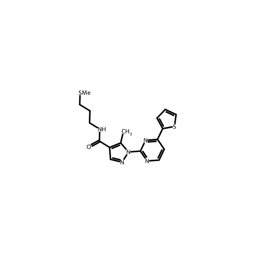 CSCCCNC(=O)c1cnn(-c2nccc(-c3cccs3)n2)c1C